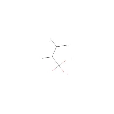 CCCC(C)C(C)C(O)(O)O